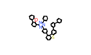 C1=CC(c2nc(-c3ccc(-c4cccc5sc6ccc(-c7cccc(-c8ccccc8)c7)cc6c45)cc3)nc(-c3cccc4c3oc3ccccc34)n2)=CCC1